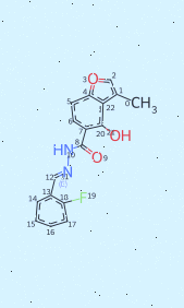 Cc1coc2ccc(C(=O)N/N=C/c3ccccc3F)c(O)c12